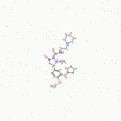 COc1ccc(C2CC(=O)N(C(=O)NCCN3CCOCC3)N2C)cc1OC1CCCC1